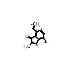 C=Cc1ccc(Br)c2c1C(=O)C(C)C2